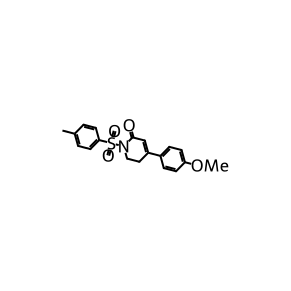 COc1ccc(C2=CC(=O)N(S(=O)(=O)c3ccc(C)cc3)CC2)cc1